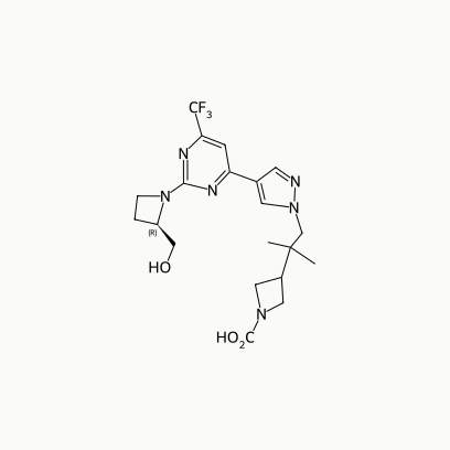 CC(C)(Cn1cc(-c2cc(C(F)(F)F)nc(N3CC[C@@H]3CO)n2)cn1)C1CN(C(=O)O)C1